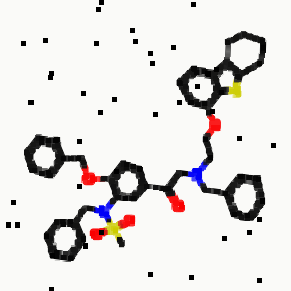 CS(=O)(=O)N(Cc1ccccc1)c1cc(C(=O)CN(CCOc2cccc3c4c(sc23)CCCC4)Cc2ccccc2)ccc1OCc1ccccc1